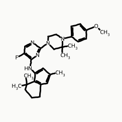 COc1ccc(N2CCN(c3ncc(F)c(Nc4cc(C)cc5c4C(C)(C)CCC5)n3)CC2(C)C)cc1